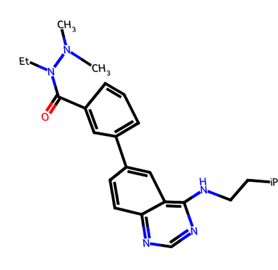 CCN(C(=O)c1cccc(-c2ccc3ncnc(NCCC(C)C)c3c2)c1)N(C)C